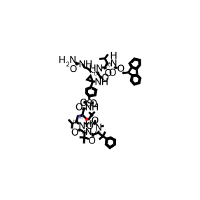 C/C(=C\[C@H](C(C)C)N(C)C(=O)[C@@H](NC(=O)[C@@H](N(C)C(=O)OC(C)(C)C)C(C)(C)c1ccccc1)C(C)(C)C)C(=O)NS(=O)(=O)c1ccc(C2(NC(=O)[C@H](CCCNC(N)=O)NC(=O)[C@@H](NC(=O)OCC3c4ccccc4-c4ccccc43)C(C)C)CC2)cc1